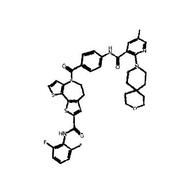 Cc1cnc(N2CCC3(CCOCC3)CC2)c(C(=O)Nc2ccc(C(=O)N3CCc4cc(C(=O)Nc5c(F)cccc5F)sc4-c4sccc43)cc2)c1